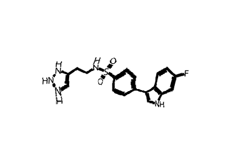 O=S(=O)(NCCC1=CNNN1)c1ccc(-c2c[nH]c3cc(F)ccc23)cc1